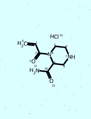 C=CC(=O)N1CCNCC1C(N)=O.Cl